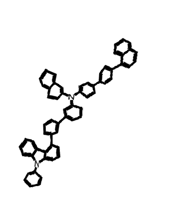 C1=C(c2cccc(-c3cccc4c3c3ccccc3n4-c3ccccc3)c2)C=C(N(c2ccc(-c3ccc(-c4cccc5ccccc45)cc3)cc2)c2ccc3ccccc3c2)CC1